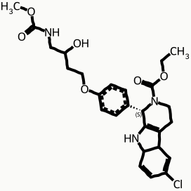 CCOC(=O)N1CCC2=C(NC3C=CC(Cl)=CC23)[C@@H]1c1ccc(OCCC(O)CNC(=O)OC)cc1